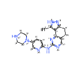 CC(C)c1[nH]nc2c1-c1nc(Nc3ccc(N4CCNCC4)cn3)ncc1CC2